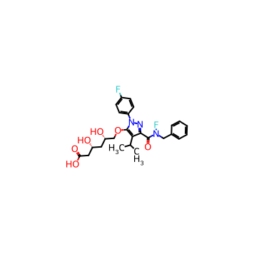 CC(C)c1c(C(=O)N(F)Cc2ccccc2)nn(-c2ccc(F)cc2)c1OC[C@@H](O)C[C@@H](O)CC(=O)O